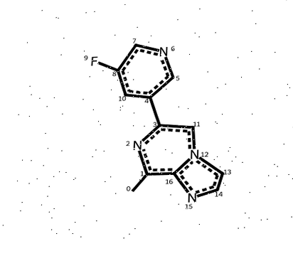 Cc1nc(-c2cncc(F)c2)cn2ccnc12